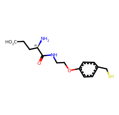 N[C@H](CCC(=O)O)C(=O)NCCOc1ccc(CS)cc1